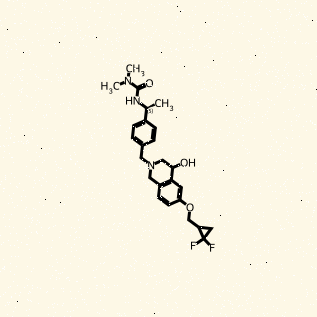 C[C@H](NC(=O)N(C)C)c1ccc(CN2Cc3ccc(OCC4CC4(F)F)cc3C(O)C2)cc1